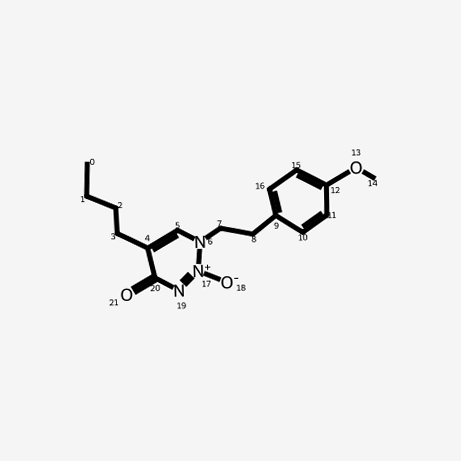 CCCCc1cn(CCc2ccc(OC)cc2)[n+]([O-])nc1=O